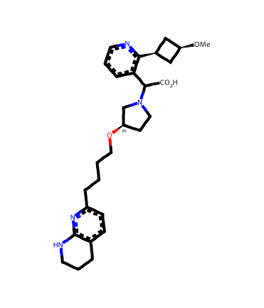 CO[C@H]1C[C@@H](c2ncccc2C(C(=O)O)N2CC[C@@H](OCCCCc3ccc4c(n3)NCCC4)C2)C1